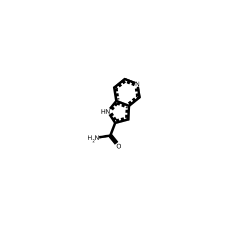 NC(=O)c1cc2cnccc2[nH]1